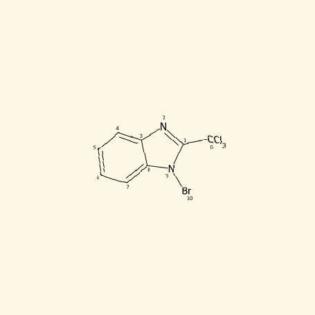 ClC(Cl)(Cl)c1nc2ccccc2n1Br